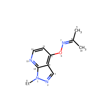 CCn1ncc2c(ON=C(C)C)ccnc21